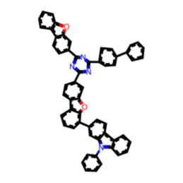 c1ccc(-c2ccc(-c3nc(-c4ccc5c(c4)oc4ccccc45)nc(-c4ccc5c(c4)oc4c(-c6ccc7c8ccccc8n(-c8ccccc8)c7c6)cccc45)n3)cc2)cc1